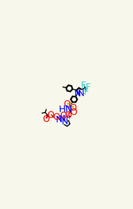 Cc1ccc(-c2cc(C(F)(F)F)nn2-c2ccc(S(=O)(=O)NC(=O)OC[C@@H]3CCCN3/[N+]([O-])=N/OCOC(=O)C(C)C)cc2)cc1